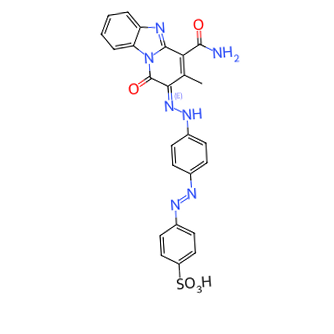 CC1=C(C(N)=O)c2nc3ccccc3n2C(=O)/C1=N/Nc1ccc(N=Nc2ccc(S(=O)(=O)O)cc2)cc1